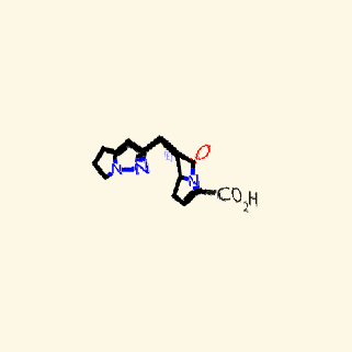 O=C(O)C1=CCC2/C(=C\c3cc4n(n3)CCC4)C(=O)N12